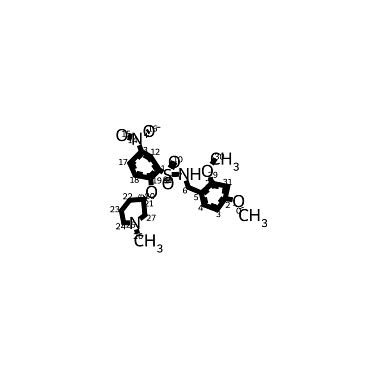 COc1ccc(CNS(=O)(=O)c2cc([N+](=O)[O-])ccc2O[C@@H]2CCCN(C)C2)c(OC)c1